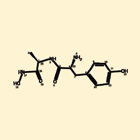 C[C@@H](NC(=O)[C@@H](N)Cc1ccc(O)cc1)C(=O)NO